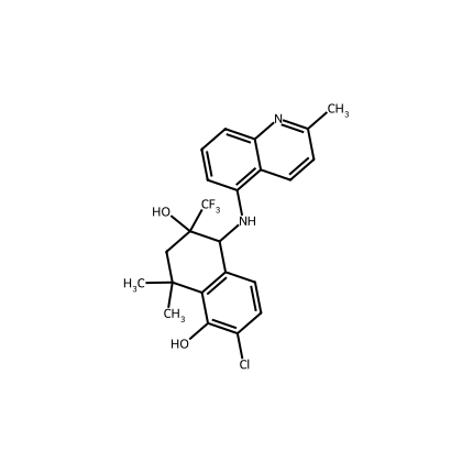 Cc1ccc2c(NC3c4ccc(Cl)c(O)c4C(C)(C)CC3(O)C(F)(F)F)cccc2n1